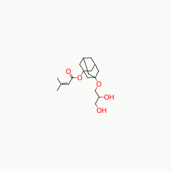 CC(C)=CC(=O)OC12CC3CC(CC(OCC(O)CO)(C3)C1)C2